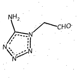 Nc1nnnn1C[C]=O